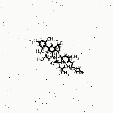 Cc1cc(C)c(-c2cc([C@H](CC(=O)O)NC(=O)[C@H](CC(C)C)n3nc(CCN4CC(F)C4)c(C)cc3=O)c(F)c(C(F)(F)F)c2)c(C)c1